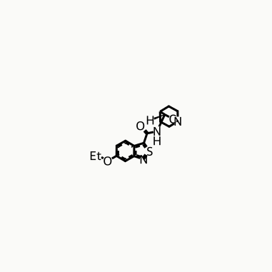 CCOc1ccc2c(C(=O)N[C@H]3CN4CCC3CC4)snc2c1